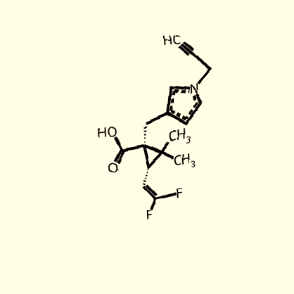 C#CCn1ccc(C[C@@]2(C(=O)O)[C@@H](C=C(F)F)C2(C)C)c1